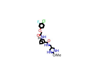 COC1NCC(CNC(=O)C2C[C@H](NC(=O)COc3ccc(Cl)c(F)c3)C3CC2C3)CN1